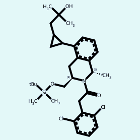 C[C@H]1c2cccc(C3CC3CC(C)(C)O)c2C[C@H](CO[Si](C)(C)C(C)(C)C)N1C(=O)Cc1c(Cl)cccc1Cl